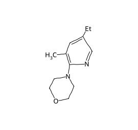 CCc1cnc(N2CCOCC2)c(C)c1